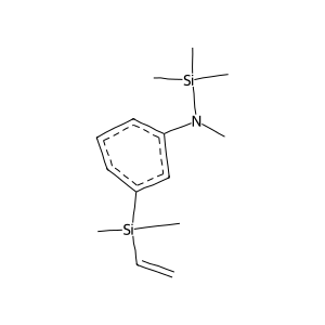 C=C[Si](C)(C)c1cccc(N(C)[Si](C)(C)C)c1